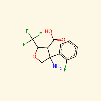 NC1(c2ccccc2F)COC(C(F)(F)F)C1C(=O)O